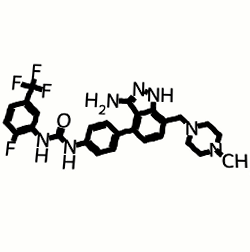 CN1CCN(Cc2ccc(-c3ccc(NC(=O)Nc4cc(C(F)(F)F)ccc4F)cc3)c3c(N)n[nH]c23)CC1